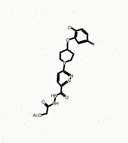 CC(=O)OCC(=O)NNC(=O)c1ccc(N2CCC(Oc3cc(F)ccc3Cl)CC2)nn1